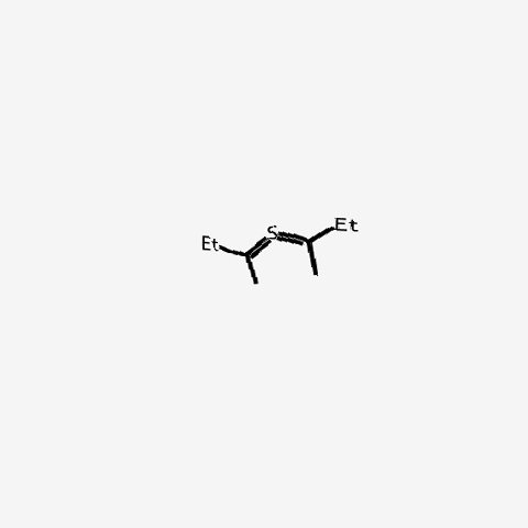 CCC(C)=S=C(C)CC